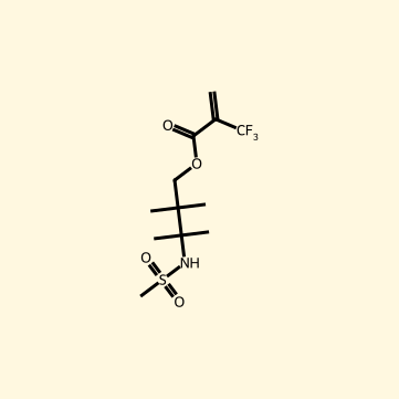 C=C(C(=O)OCC(C)(C)C(C)(C)NS(C)(=O)=O)C(F)(F)F